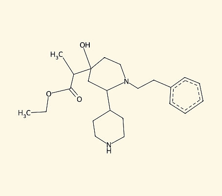 CCOC(=O)C(C)C1(O)CCN(CCc2ccccc2)C(C2CCNCC2)C1